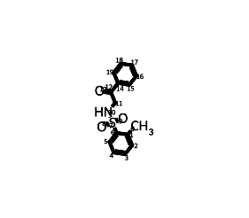 Cc1ccccc1S(=O)(=O)NCC(=O)c1ccccc1